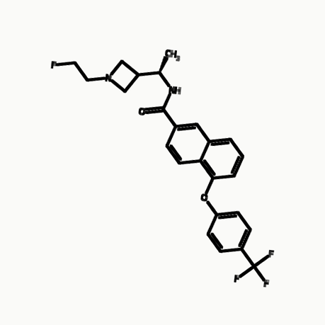 C[C@@H](NC(=O)c1ccc2c(Oc3ccc(C(F)(F)F)cc3)cccc2c1)C1CN(CCF)C1